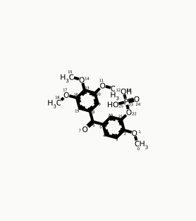 COc1ccc(C(=O)c2cc(OC)c(OC)c(OC)c2)cc1OP(=O)(O)O